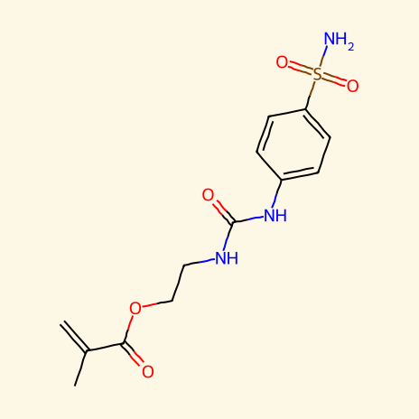 C=C(C)C(=O)OCCNC(=O)Nc1ccc(S(N)(=O)=O)cc1